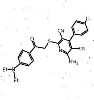 CCN(CC)c1ccc(C(=O)CSc2nc(N)c(C#N)c(-c3ccc(Cl)cc3)c2C#N)cc1